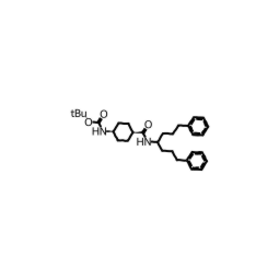 CC(C)(C)OC(=O)N[C@H]1CC[C@@H](C(=O)NC(CCCc2ccccc2)CCCc2ccccc2)CC1